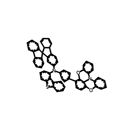 C1=CC2c3ccc(N(c4ccc(-c5ccc6c7c5Oc5ccccc5N7c5ccccc5O6)cc4)c4cccc5sc6ccccc6c45)cc3C3(c4ccccc4-c4ccccc43)C2C=C1